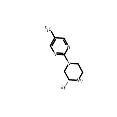 CC[C@@H]1CN(c2ncc(C(F)(F)F)cn2)CCN1